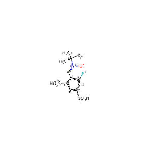 CCC(C)(C)[N+]([O-])=Cc1c(F)cc(S(=O)(=O)O)cc1S(=O)(=O)O